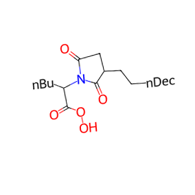 CCCCCCCCCCCCC1CC(=O)N(C(CCCC)C(=O)OO)C1=O